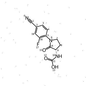 N#Cc1ccc(N2CC[C@H](NC(=O)O)C2=O)c(F)c1